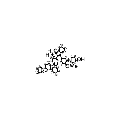 COc1cc2c3c(c4c(c2cc1N1CCC(O)CC1)-c1ccccc1C4(C)C)C=CC(c1ccccc1)(c1ccc(N2CCOCC2)cc1)O3